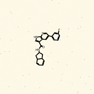 O=C(NC1CC2C=CC=CC2C1)c1c[nH]c2ncc(-c3cccc(F)c3)cc12